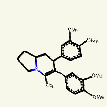 COc1ccc(C2=C(C#N)N3CCCC3CC2c2ccc(OC)c(OC)c2)cc1OC